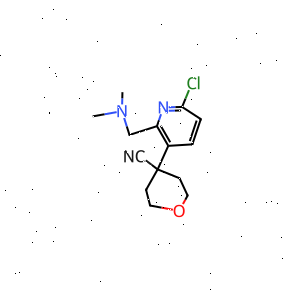 CN(C)Cc1nc(Cl)ccc1C1(C#N)CCOCC1